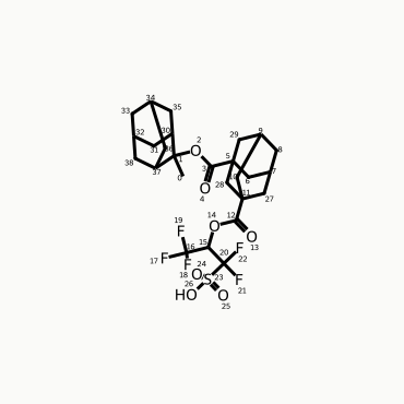 CC1(OC(=O)C23CC4CC(CC(C(=O)OC(C(F)(F)F)C(F)(F)S(=O)(=O)O)(C4)C2)C3)C2CC3CC(C2)CC1C3